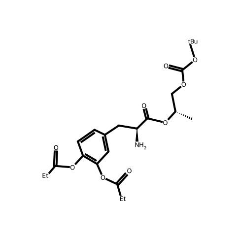 CCC(=O)Oc1ccc(C[C@H](N)C(=O)O[C@@H](C)COC(=O)OC(C)(C)C)cc1OC(=O)CC